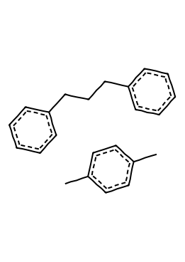 Cc1ccc(C)cc1.c1ccc(CCCc2ccccc2)cc1